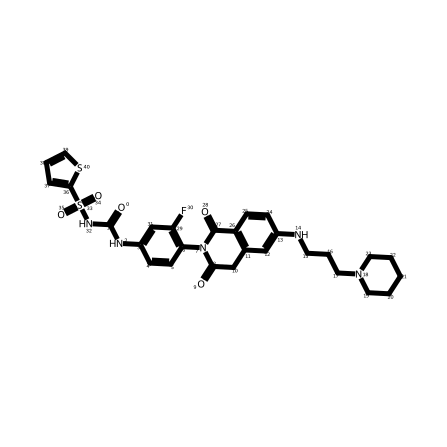 O=C(Nc1ccc(N2C(=O)Cc3cc(NCCCN4CCCCC4)ccc3C2=O)c(F)c1)NS(=O)(=O)c1cccs1